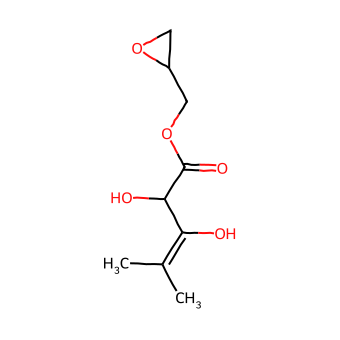 CC(C)=C(O)C(O)C(=O)OCC1CO1